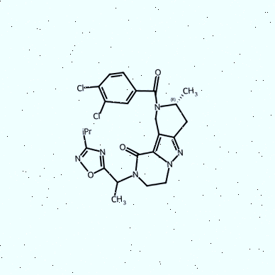 CC(C)c1noc(C(C)N2CCn3nc4c(c3C2=O)CN(C(=O)c2ccc(Cl)c(Cl)c2)[C@H](C)C4)n1